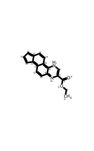 CCOC(=O)c1c[nH]c2c(ccc3c4cccc4ccc32)n1